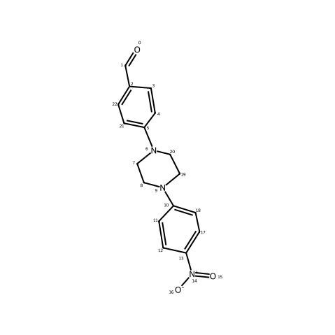 O=Cc1ccc(N2CCN(c3ccc([N+](=O)[O-])cc3)CC2)cc1